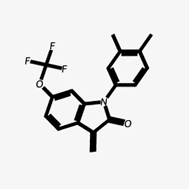 C=C1C(=O)N(c2ccc(C)c(C)c2)c2cc(OC(F)(F)F)ccc21